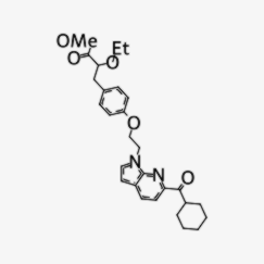 CCOC(Cc1ccc(OCCn2ccc3ccc(C(=O)C4CCCCC4)nc32)cc1)C(=O)OC